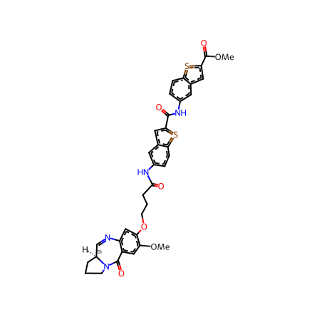 COC(=O)c1cc2cc(NC(=O)c3cc4cc(NC(=O)CCCOc5cc6c(cc5OC)C(=O)N5CCC[C@H]5C=N6)ccc4s3)ccc2s1